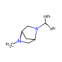 CCCC(CCC)N1CC2CC1CN2C